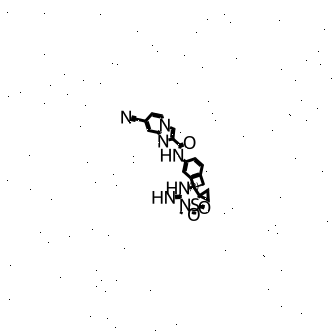 CN1C(=N)N[C@@]2(Cc3ccc(NC(=O)c4cn5ccc(C#N)cc5n4)cc32)C2(CC2)S1(=O)=O